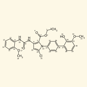 CCOC(=O)c1c(NC(=O)Nc2ccccc2OC)cc(Cl)n1-c1ccc(-c2cccc(OC)c2O)cc1